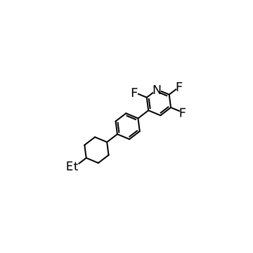 CCC1CCC(c2ccc(-c3cc(F)c(F)nc3F)cc2)CC1